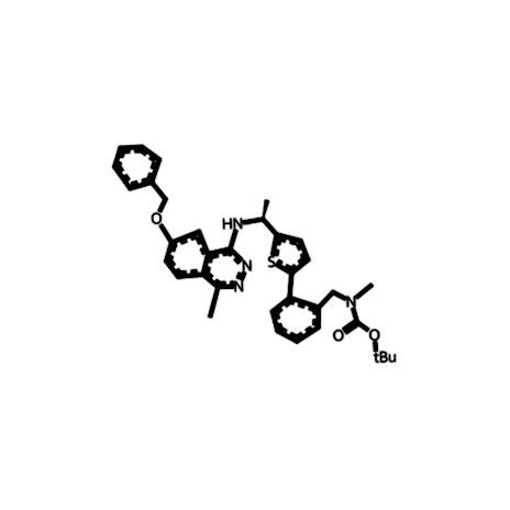 Cc1nnc(N[C@@H](C)c2ccc(-c3ccccc3CN(C)C(=O)OC(C)(C)C)s2)c2cc(OCc3ccccc3)ccc12